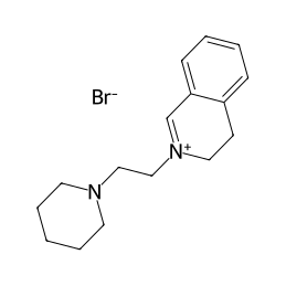 C1=[N+](CCN2CCCCC2)CCc2ccccc21.[Br-]